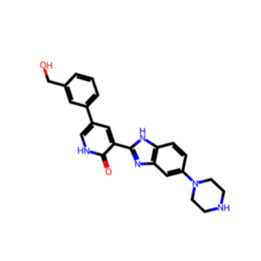 O=c1[nH]cc(-c2cccc(CO)c2)cc1-c1nc2cc(N3CCNCC3)ccc2[nH]1